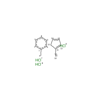 Cc1ccccc1.Cl.Cl.Cl.[Ti][C]1=CC=CC1